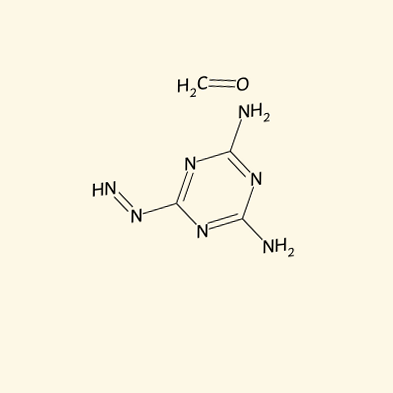 C=O.N=Nc1nc(N)nc(N)n1